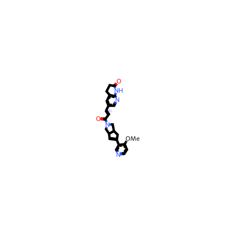 COc1ccncc1C1=CC2CN(C(=O)/C=C/c3cnc4c(c3)CCC(=O)N4)CC2C1